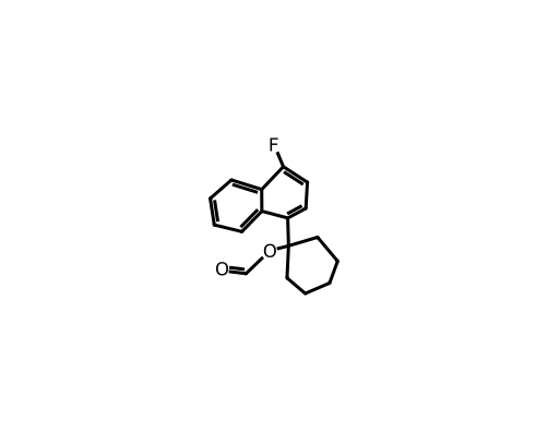 O=COC1(c2ccc(F)c3ccccc23)CCCCC1